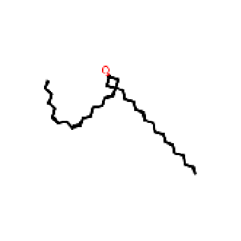 CCCCC/C=C\C/C=C\CCCCCCC1(CCCCCCCCCCCCCCCC)CC(=O)C1